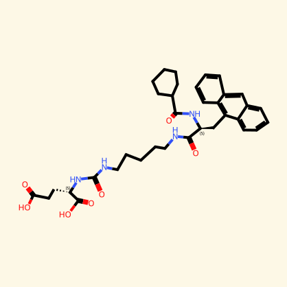 O=C(O)CC[C@H](NC(=O)NCCCCCNC(=O)[C@H](Cc1c2ccccc2cc2ccccc12)NC(=O)C1CCCCC1)C(=O)O